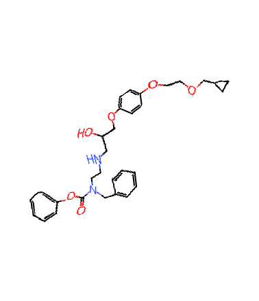 O=C(Oc1ccccc1)N(CCNCC(O)COc1ccc(OCCOCC2CC2)cc1)Cc1ccccc1